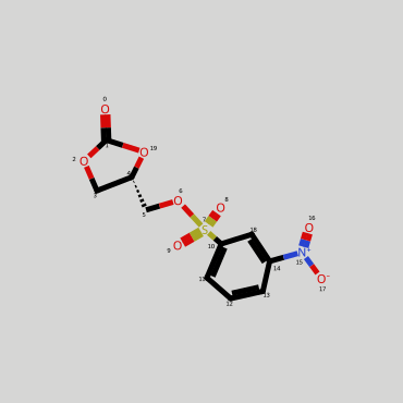 O=C1OC[C@@H](COS(=O)(=O)c2cccc([N+](=O)[O-])c2)O1